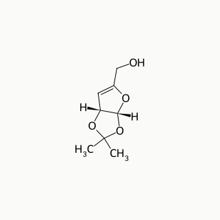 CC1(C)O[C@H]2OC(CO)=C[C@H]2O1